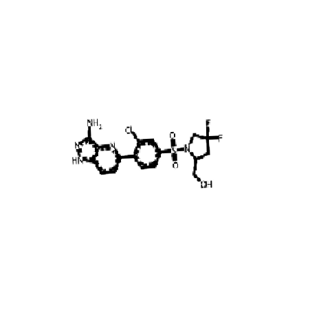 Nc1n[nH]c2ccc(-c3ccc(S(=O)(=O)N4CC(F)(F)CC4CO)cc3Cl)nc12